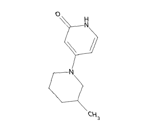 CC1CCCN(c2cc[nH]c(=O)c2)C1